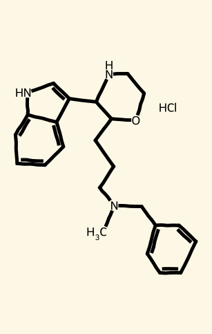 CN(CCCC1OCCNC1c1c[nH]c2ccccc12)Cc1ccccc1.Cl